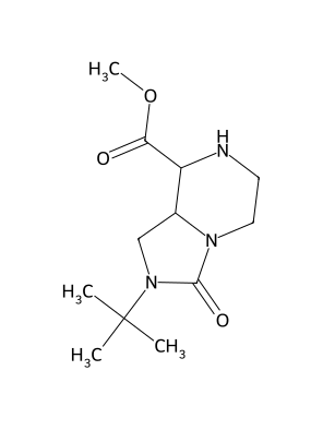 COC(=O)C1NCCN2C(=O)N(C(C)(C)C)CC12